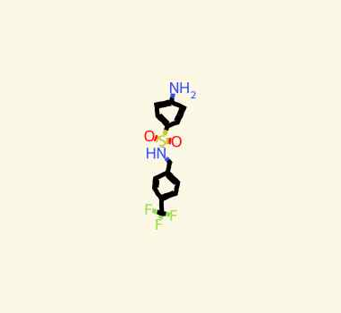 Nc1ccc(S(=O)(=O)NCc2ccc(C(F)(F)F)cc2)cc1